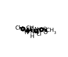 CC(=O)OC1CCN(c2ncc(NC(=O)c3cnn(-c4ccc(Cl)cc4)c3C)cc2Cl)CC1